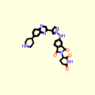 O=C1CCC(N2C(=O)c3ccc(Nn4cc(-c5cnc6ccc(C7CCNCC7)cc6n5)cn4)cc3C2=O)C(=O)N1